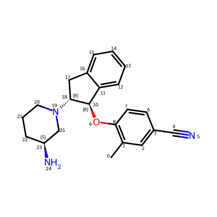 Cc1cc(C#N)ccc1O[C@@H]1c2ccccc2C[C@H]1N1CCC[C@H](N)C1